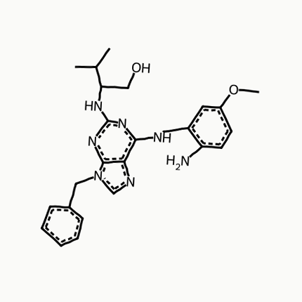 COc1ccc(N)c(CNc2nc(NC(CO)C(C)C)nc3c2ncn3Cc2ccccc2)c1